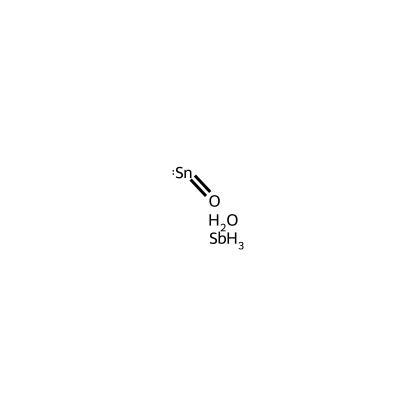 O.[O]=[Sn].[SbH3]